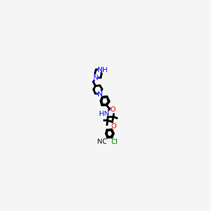 CC1(C)[C@H](NC(=O)c2ccc(N3CCC(CN4CCNCC4)CC3)cc2)C(C)(C)[C@H]1Oc1ccc(C#N)c(Cl)c1